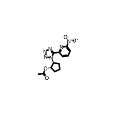 CC(=O)O[C@H]1CCC[C@@H]1n1nnnc1-c1cccc([N+](=O)[O-])n1